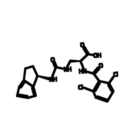 O=C(NC[C@H](NC(=O)c1c(Cl)cccc1Cl)C(=O)O)N[C@@H]1CCc2ccccc21